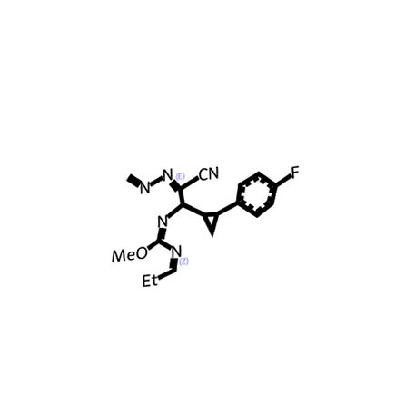 C=N/N=C(/C#N)C(N=C(/N=C\CC)OC)C1CC1c1ccc(F)cc1